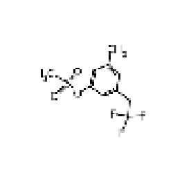 Cc1cc(CC(F)(F)F)cc(OS(C)(=O)=O)c1